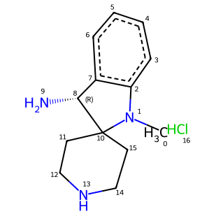 CN1c2ccccc2[C@@H](N)C12CCNCC2.Cl